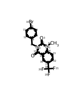 Cn1c(=O)n(Cc2ccc(Br)cc2)c(=O)c2cc(C(F)(F)F)ccc21